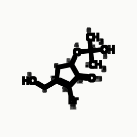 CC(C)(O)OC1CC(CO)=C(Br)C1=O